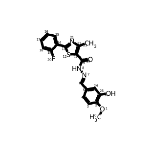 COc1ccc(/C=N/NC(=O)c2sc(-c3ccccc3F)nc2C)cc1O